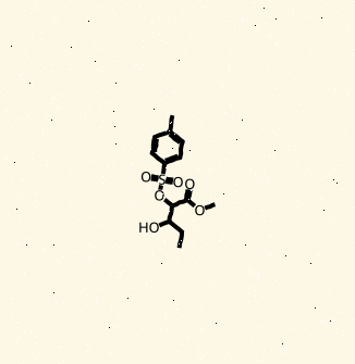 CCC(O)C(OS(=O)(=O)c1ccc(C)cc1)C(=O)OC